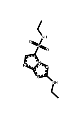 CCNc1nn2c(S(=O)(=O)NCC)cnc2s1